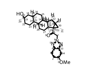 COc1ccc2nn(CC(=O)[C@]34[C@@H]5[C@H]([C@H]6[C@@H]7CC[C@@H]8C[C@](C)(O)CC[C@@H]8[C@H]7CC[C@@]63C)[C@@]54C)nc2c1